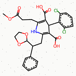 COC(=O)CCC1=C(C(=O)O)C(c2c(Cl)cccc2Cl)C(C(=O)O)=C(CC(c2ccccc2)C2OCCO2)N1